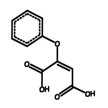 O=C(O)/C=C(/Oc1ccccc1)C(=O)O